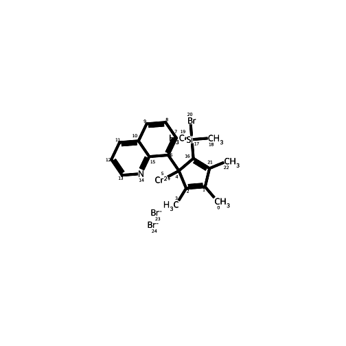 CC1=C(C)[C]([Cr+2])(c2cccc3cccnc23)C([Si](C)(C)Br)=C1C.[Br-].[Br-]